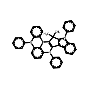 CC1(C)C2=C(c3c1n(-c1ccccc1)c1ccccc31)N(c1ccccc1)c1cccc3c1B2c1ccccc1N3c1ccccc1